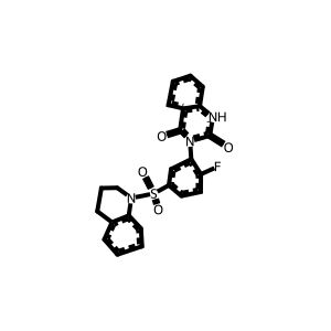 O=c1[nH]c2ccccc2c(=O)n1-c1cc(S(=O)(=O)N2CCCc3ccccc32)ccc1F